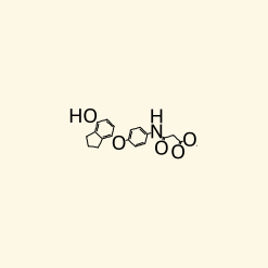 COC(=O)CC(=O)Nc1ccc(Oc2ccc(O)c3c2CCC3)cc1